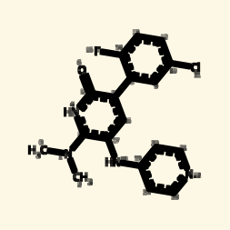 CN(C)c1[nH]c(=O)c(-c2cc(Cl)ccc2F)cc1Nc1ccncc1